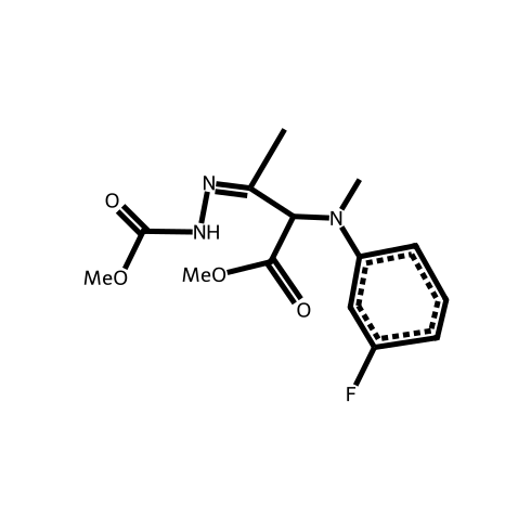 COC(=O)N/N=C(/C)C(C(=O)OC)N(C)c1cccc(F)c1